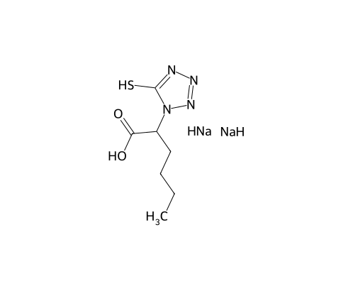 CCCCC(C(=O)O)n1nnnc1S.[NaH].[NaH]